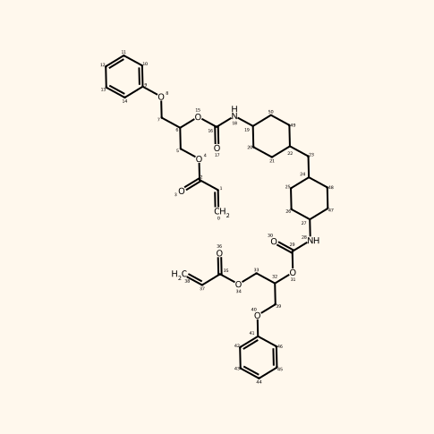 C=CC(=O)OCC(COc1ccccc1)OC(=O)NC1CCC(CC2CCC(NC(=O)OC(COC(=O)C=C)COc3ccccc3)CC2)CC1